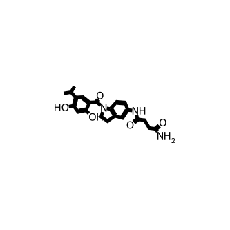 CC(C)c1cc(C(=O)N2CCc3cc(NC(=O)CCC(N)=O)ccc32)c(O)cc1O